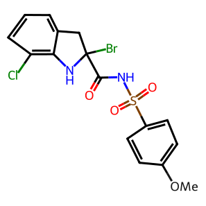 COc1ccc(S(=O)(=O)NC(=O)C2(Br)Cc3cccc(Cl)c3N2)cc1